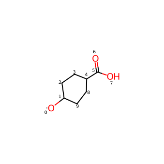 [O]C1CCC(C(=O)O)CC1